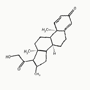 CC1CC2[C@@H]3CCC4=CC(=O)C=C[C@]4(C)C3CC[C@]2(C)C1C(=O)CO